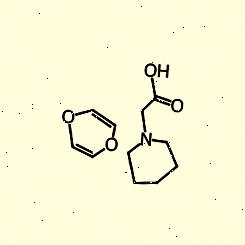 C1=COC=CO1.O=C(O)CN1CCCCC1